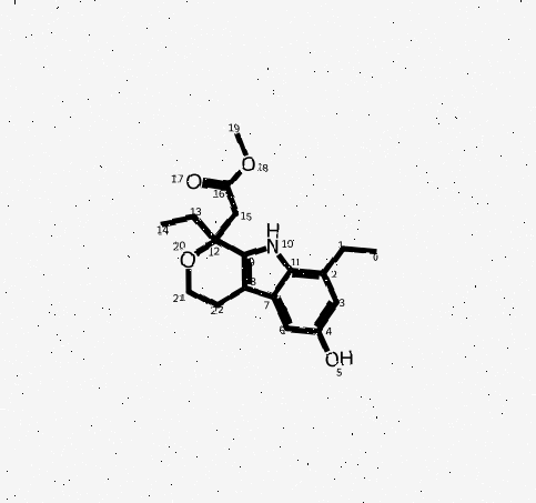 CCc1cc(O)cc2c3c([nH]c12)C(CC)(CC(=O)OC)OCC3